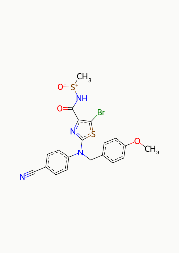 COc1ccc(CN(c2ccc(C#N)cc2)c2nc(C(=O)N[S+](C)[O-])c(Br)s2)cc1